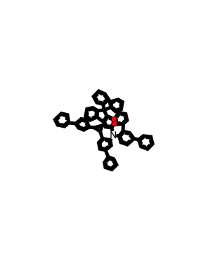 c1ccc(-c2ccc(C3CC3c3ccc(-c4ccccc4)cc3N(c3ccc4c(c3)-c3ccccc3C4(c3ccccc3)c3ccccc3)c3ccc(-c4ccccc4)cc3-c3ccccc3)cc2)cc1